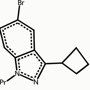 CC(C)n1nc(C2CCC2)c2cc(Br)ccc21